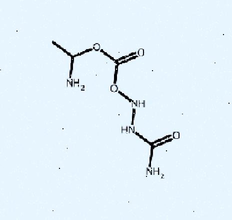 CC(N)OC(=O)ONNC(N)=O